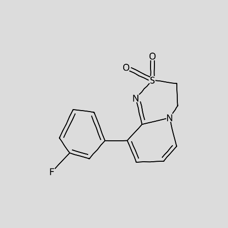 O=S1(=O)CCN2C=CC=C(c3cccc(F)c3)C2=N1